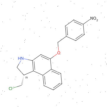 O=[N+]([O-])c1ccc(COc2cc3c(c4ccccc24)[C@H](CCl)CN3)cc1